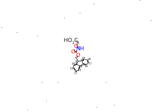 O=C(O)CONC(=O)OCC1c2ccccc2-c2ccccc21